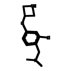 CN(C)Cc1ccc(OC2CNC2)cc1Cl